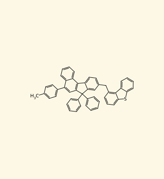 Cc1ccc(-c2cc3c(c4ccccc24)-c2ccc(Cc4cccc5sc6ccccc6c45)cc2C3(c2ccccc2)c2ccccc2)cc1